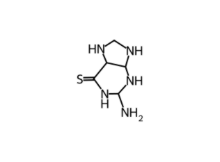 NC1NC(=S)C2NCNC2N1